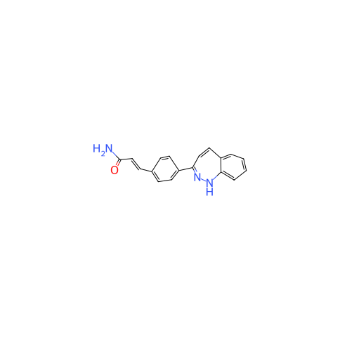 NC(=O)C=Cc1ccc(C2=NNc3ccccc3C=C2)cc1